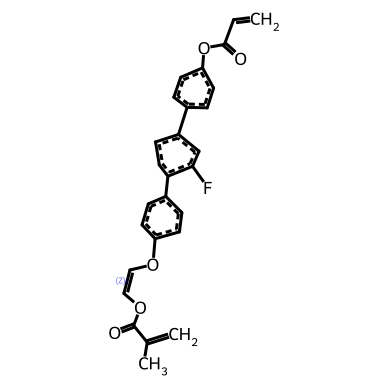 C=CC(=O)Oc1ccc(-c2ccc(-c3ccc(O/C=C\OC(=O)C(=C)C)cc3)c(F)c2)cc1